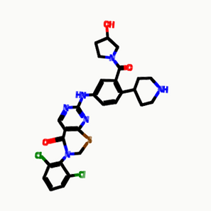 O=C(c1cc(Nc2ncc3c(n2)SCN(c2c(Cl)cccc2Cl)C3=O)ccc1C1CCNCC1)N1CCC(O)C1